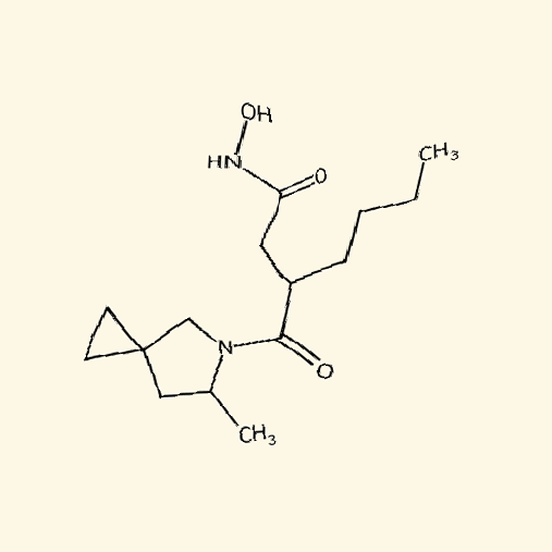 CCCCC(CC(=O)NO)C(=O)N1CC2(CC2)CC1C